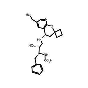 CC(C)(C)Cc1cnc2c(c1)[C@@H](NC[C@@H](O)[C@H](Cc1ccccc1)NC(=O)O)CC1(CCC1)O2